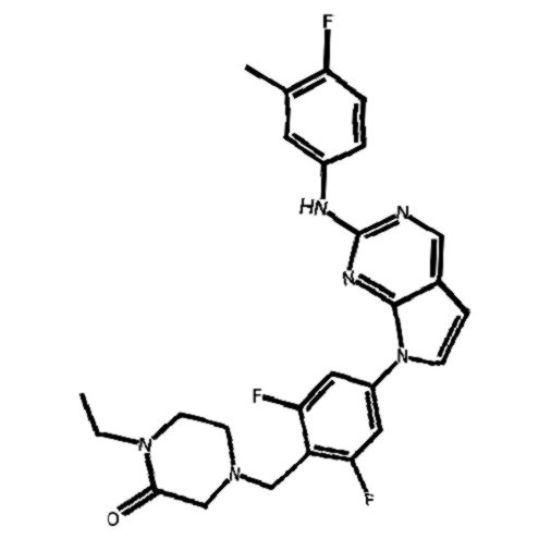 CCN1CCN(Cc2c(F)cc(-n3ccc4cnc(Nc5ccc(F)c(C)c5)nc43)cc2F)CC1=O